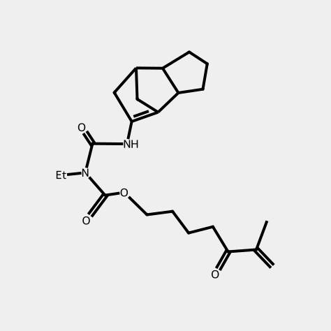 C=C(C)C(=O)CCCCOC(=O)N(CC)C(=O)NC1=C2CC(C1)C1CCCC21